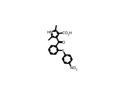 Cc1[nH]c(C)c(C(=O)c2ccccc2Sc2ccc([N+](=O)[O-])cc2)c1C(=O)O